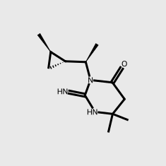 C[C@@H]1C[C@H]1[C@@H](C)N1C(=N)NC(C)(C)CC1=O